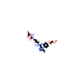 COCCOc1ccc2c(c1)nc(NCCCCNC(=O)OC(C)C)c1nnc(C)n12